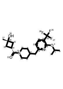 CC(C)Oc1nc(CC2CCN(C(=O)[C@H]3C[C@@](C)(O)C3)CC2)ccc1C(F)(F)F